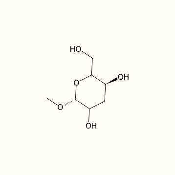 CO[C@@H]1OC(CO)[C@@H](O)CC1O